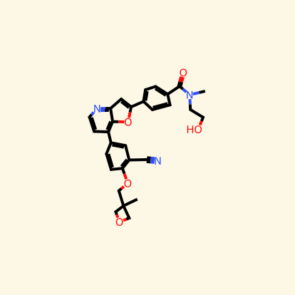 CN(CCO)C(=O)c1ccc(-c2cc3nccc(-c4ccc(OCC5(C)COC5)c(C#N)c4)c3o2)cc1